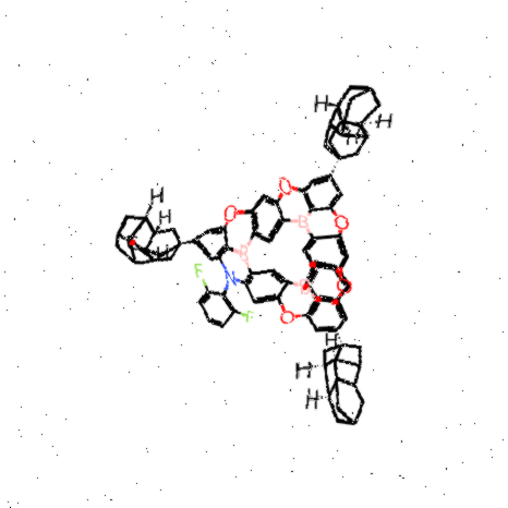 Fc1cccc(F)c1N1c2cc3c(cc2B2c4cc5c(cc4Oc4cc([C@]67CC8C9CC%10C[C@@H]8[C@@H](C6)[C@@H](C%10)C9C7)cc1c42)Oc1cc([C@]24CC6C7CC8C[C@@H]6[C@@H](C2)[C@@H](C8)C7C4)cc2c1B5c1ccccc1O2)B1c2ccccc2Oc2cc([C@]45CC6C7CC8C[C@H]6[C@@H](C4)[C@H](C8)C7C5)cc(c21)O3